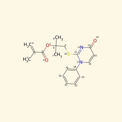 C=C(C)C(=O)OC(C)(C)CSc1nc(=O)ccn1-c1ccccc1